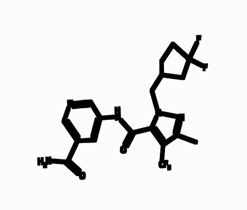 Cc1nn(CC2CCC(F)(F)C2)c(C(=O)Nc2cncc(C(N)=O)c2)c1C(F)(F)F